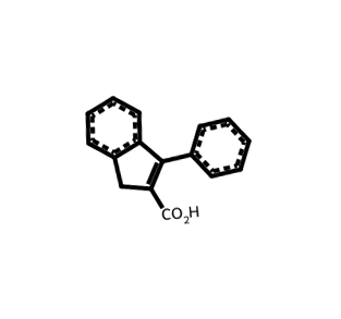 O=C(O)C1=C(c2ccccc2)c2ccccc2C1